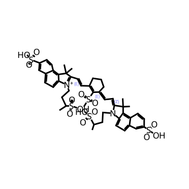 CC(CCN1/C(=C\C=C2/CCCC(/C=C/C3=[N+](CCC(C)S(=O)(=O)O)c4ccc5cc(S(=O)(=O)O)ccc5c4C3(C)C)=C2S(C)(=O)=O)C(C)(C)c2c1ccc1cc(S(=O)(=O)O)ccc21)S(=O)(=O)O